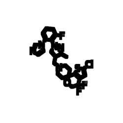 CC1=NN(c2c(F)cccc2-n2ccnc2)CC1CN1CCC2(CC1)OCC(F)(F)c1cc(Cl)sc12